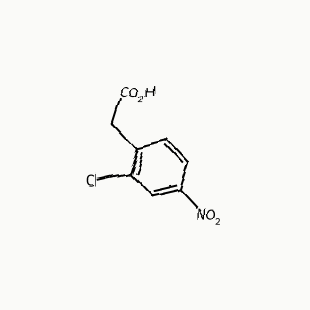 O=C(O)Cc1ccc([N+](=O)[O-])cc1Cl